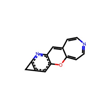 C1=CC2=Cc3nc4c(cc3OC2=CC=N1)C4